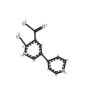 O=C(Cl)c1cc(-c2ccncc2)cnc1Cl